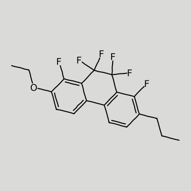 CCCc1ccc2c(c1F)C(F)(F)C(F)(F)c1c-2ccc(OCC)c1F